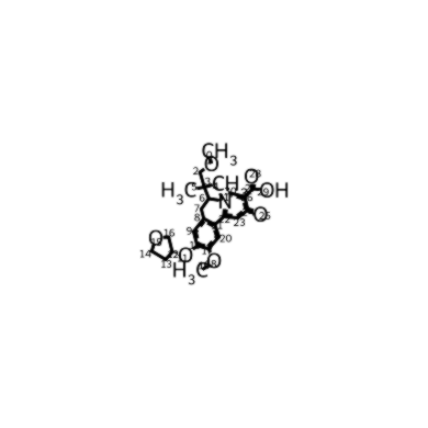 COCC(C)(C)C1Cc2cc(O[C@@H]3CCOC3)c(OC)cc2-c2cc(=O)c(C(=O)O)cn21